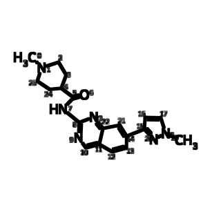 CN1CCC(C(=O)Nc2ncc3ccc(-c4ccn(C)n4)cc3n2)CC1